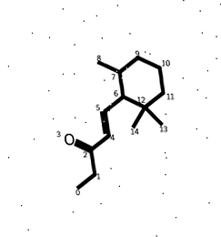 CCC(=O)C=CC1C(C)CCCC1(C)C